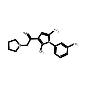 C=C(CN1CCCC1)c1cc(C)n(-c2cccc(C)c2)c1C